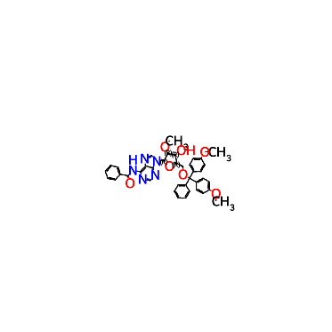 COc1ccc(C(OC[C@H]2O[C@@H](n3cnc4c(NC(=O)c5ccccc5)ncnc43)[C@H](OC)[C@@H]2O)(c2ccccc2)c2ccc(OC)cc2)cc1